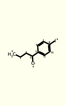 CCCC([O])c1ccc(I)cc1